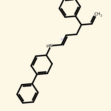 C=CC(C/C=C/NC1C=CC(c2ccccc2)=CC1)c1ccccc1